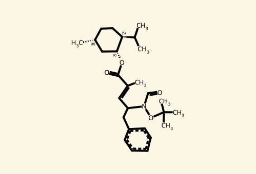 CC(=CC(Cc1ccccc1)N(C=O)OC(C)(C)C)C(=O)O[C@@H]1C[C@H](C)CC[C@H]1C(C)C